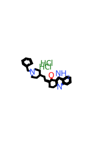 Cl.Cl.Nc1c2c(nc3ccccc13)CCC(=CCC1CCN(Cc3ccccc3)CC1)C2=O